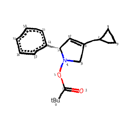 CC(C)(C)C(=O)ON1CC(C2CC2)=C[C@H]1c1ccccc1